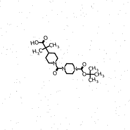 CC(C)(C)OC(=O)N1CCN(C(=O)N2CCC(C(C)(C)C(=O)O)CC2)CC1